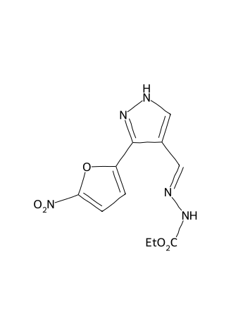 CCOC(=O)N/N=C/c1c[nH]nc1-c1ccc([N+](=O)[O-])o1